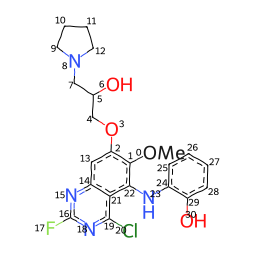 COc1c(OCC(O)CN2CCCC2)cc2nc(F)nc(Cl)c2c1Nc1ccccc1O